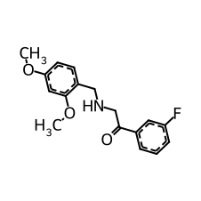 COc1ccc(CNCC(=O)c2cccc(F)c2)c(OC)c1